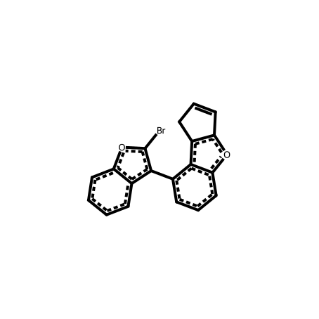 Brc1oc2ccccc2c1-c1cccc2oc3c(c12)CC=C3